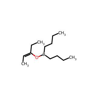 C/C=C(/CC)OB(CCCC)CCCC